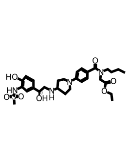 CCCCN(CC(=O)OCC)C(=O)c1ccc(N2CCC(NC[C@@H](O)c3ccc(O)c(NS(C)(=O)=O)c3)CC2)cc1